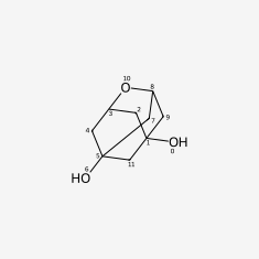 OC12CC3CC(O)(CC(C1)O3)C2